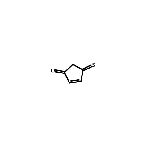 O=C1C=CC(=S)C1